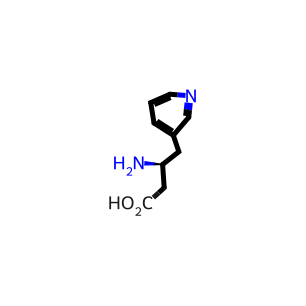 N[C@H](CC(=O)O)Cc1cccnc1